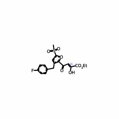 CCOC(=O)/C(O)=C/C(=O)c1oc(S(C)(=O)=O)cc1Cc1ccc(F)cc1